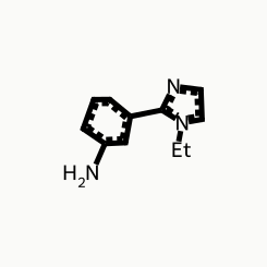 CCn1ccnc1-c1cccc(N)c1